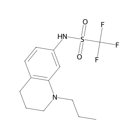 CCCN1CCCc2ccc(NS(=O)(=O)C(F)(F)F)cc21